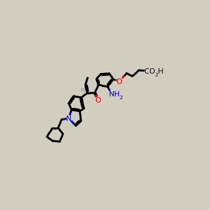 C/C=C(\C(=O)c1cccc(OCCCC(=O)O)c1N)c1ccc2c(ccn2CC2CCCCC2)c1